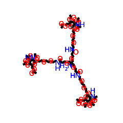 CC(=O)N[C@H]1C(OC(C)=O)[C@@H](OC(C)=O)C(COC(C)=O)O[C@H]1OCCOCCOCCNC(=O)CCOCC(N)(COCCC(=O)NCCOCCOCCO[C@@H]1OC(COC(C)=O)[C@H](OC(C)=O)C(OC(C)=O)[C@@H]1NC(C)=O)COCCC(=O)NCCOCCOCCO[C@@H]1OC(COC(C)=O)[C@H](OC(C)=O)C(OC(C)=O)[C@@H]1NC(C)=O